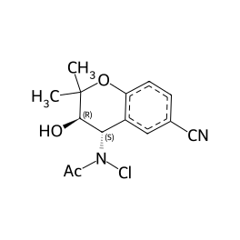 CC(=O)N(Cl)[C@H]1c2cc(C#N)ccc2OC(C)(C)[C@@H]1O